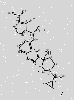 C[C@@H](Nc1ccnc2cnc(C3(O)CCN(C(=O)C4CC4)CC3)cc12)c1cccc(C(F)F)c1F